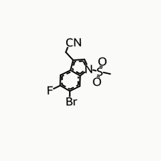 CS(=O)(=O)n1cc(CC#N)c2cc(F)c(Br)cc21